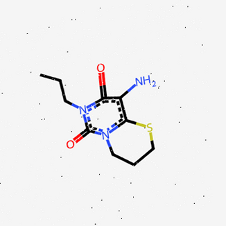 CCCn1c(=O)c(N)c2n(c1=O)CCCS2